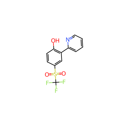 O=S(=O)(c1ccc(O)c(-c2ccccn2)c1)C(F)(F)F